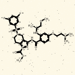 COC[C@H](C)Nc1cc(OCCN(C)C)ccc1C(=O)Nc1nn(C(=O)OC)c2c1CN(S(=O)(=O)c1cc(F)cc(F)c1)CC2